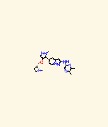 Cc1ncc(Nc2cc3cc(-c4c(OC[C@H]5CCN5C)cnn4C)ccn3n2)nc1C